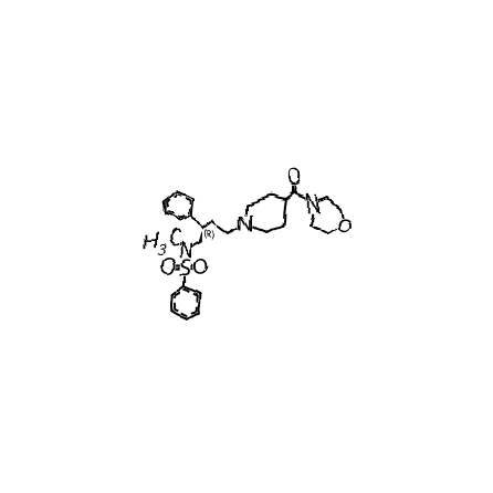 CN(C[C@H](CCN1CCC(C(=O)N2CCOCC2)CC1)c1ccccc1)S(=O)(=O)c1ccccc1